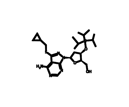 CC(C)[Si](O[C@@H]1C[C@H](n2nc(SCC3CC3)c3c(N)ncnc32)O[C@@H]1CO)(C(C)C)C(C)C